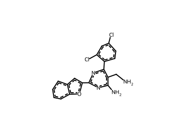 NCc1c(N)nc(-c2cc3ccccc3o2)nc1-c1ccc(Cl)cc1Cl